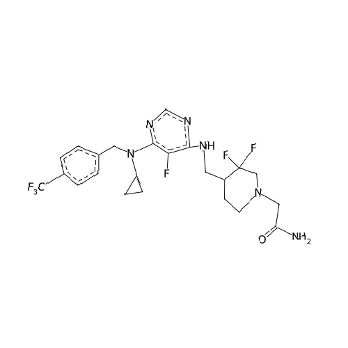 NC(=O)CN1CCC(CNc2ncnc(N(Cc3ccc(C(F)(F)F)cc3)C3CC3)c2F)C(F)(F)C1